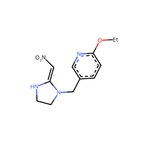 CCOc1ccc(CN2CCN/C2=C\[N+](=O)[O-])cn1